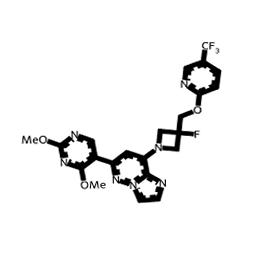 COc1ncc(-c2cc(N3CC(F)(COc4ccc(C(F)(F)F)cn4)C3)c3nccn3n2)c(OC)n1